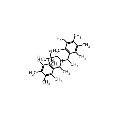 CCC(C)(C)CN(C(C)c1c(C)c(C)c(C)c(C)c1C)C(C)c1c(C)c(C)c(C)c(C)c1C